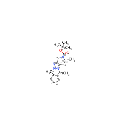 Cc1ccccc1C(C)n1nnc2c1C[C@@H](C)N(C(=O)OC(C)(C)C)C2